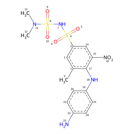 Cc1cc(S(=O)(=O)NS(=O)(=O)N(C)C)cc([N+](=O)[O-])c1Nc1ccc(N)cc1